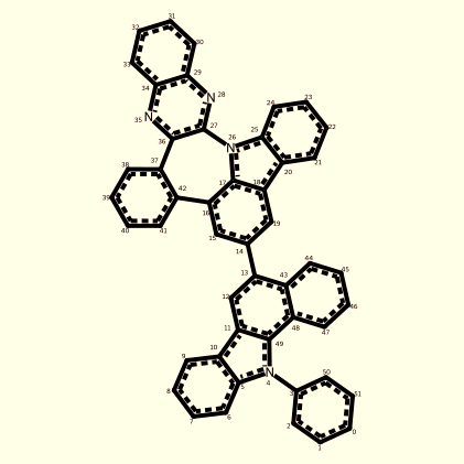 c1ccc(-n2c3ccccc3c3cc(-c4cc5c6c(c4)c4ccccc4n6-c4nc6ccccc6nc4-c4ccccc4-5)c4ccccc4c32)cc1